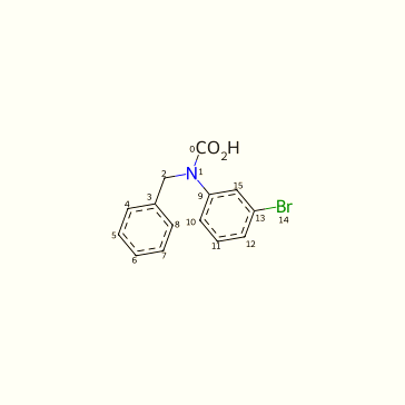 O=C(O)N(Cc1ccccc1)c1cccc(Br)c1